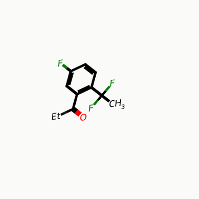 CCC(=O)c1cc(F)ccc1C(C)(F)F